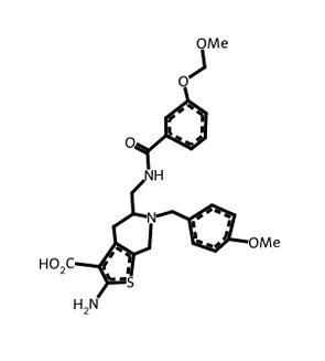 COCOc1cccc(C(=O)NCC2Cc3c(sc(N)c3C(=O)O)CN2Cc2ccc(OC)cc2)c1